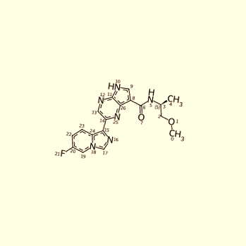 COC[C@H](C)NC(=O)c1c[nH]c2ncc(-c3ncn4cc(F)ccc34)nc12